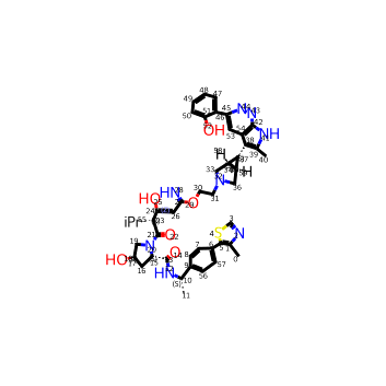 Cc1ncsc1-c1ccc([C@H](C)NC(=O)[C@@H]2C[C@@H](O)CN2C(=O)[C@@H](/C(O)=C/C(=N)OCCN2C[C@@H]3[C@H](C2)[C@H]3c2c(C)[nH]c3nnc(-c4ccccc4O)cc23)C(C)C)cc1